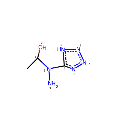 CC(O)N(N)c1nnn[nH]1